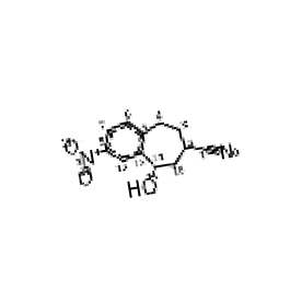 N#CC1CCc2ccc([N+](=O)[O-])cc2C(O)C1